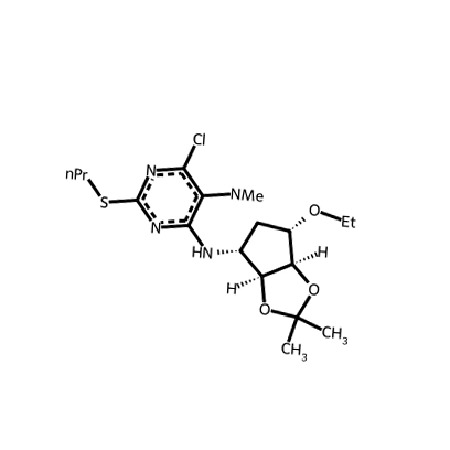 CCCSc1nc(Cl)c(NC)c(N[C@@H]2C[C@H](OCC)[C@H]3OC(C)(C)O[C@H]32)n1